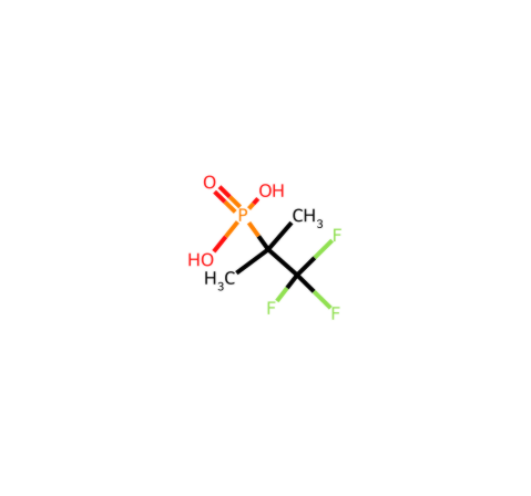 CC(C)(C(F)(F)F)P(=O)(O)O